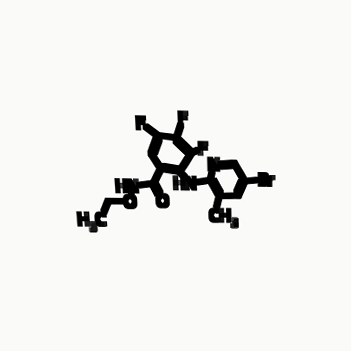 CCONC(=O)c1cc(F)c(F)c(F)c1Nc1ncc(Br)cc1C